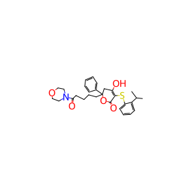 CC(C)c1ccccc1SC1=C(O)CC(CCCCC(=O)N2CCOCC2)(c2ccccc2)OC1=O